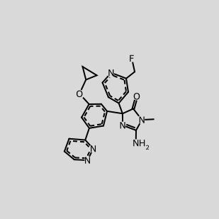 CN1C(=O)C(c2cc(OC3CC3)cc(-c3cccnn3)c2)(c2ccnc(CF)c2)N=C1N